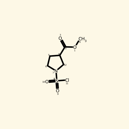 COC(=O)C1CCN(S(=O)(=O)Cl)C1